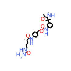 CN[C@H](C(C)=O)C(C)(C)c1cccc(NC(=O)OCc2ccc(NC(=O)[C@@H](C)CCCNC(N)=O)cc2)c1